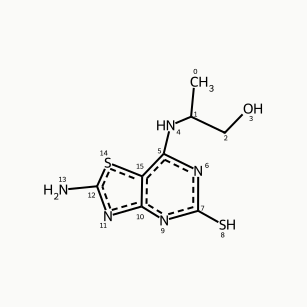 CC(CO)Nc1nc(S)nc2nc(N)sc12